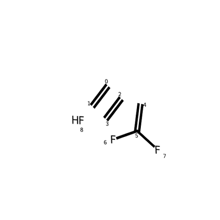 C=C.C=C.C=C(F)F.F